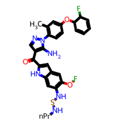 CCCNSNc1cc2[nH]c(C(=O)c3cnn(-c4ccc(OC5C=CC=CC5F)cc4C)c3N)cc2cc1OF